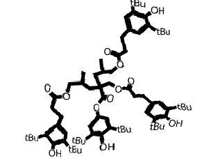 CC(COC(=O)CCc1cc(C(C)(C)C)c(O)c(C(C)(C)C)c1)CC(COC(=O)CCc1cc(C(C)(C)C)c(O)c(C(C)(C)C)c1)(CC(C)COC(=O)CCc1cc(C(C)(C)C)c(O)c(C(C)(C)C)c1)C(=O)Oc1cc(C(C)(C)C)c(O)c(C(C)(C)C)c1